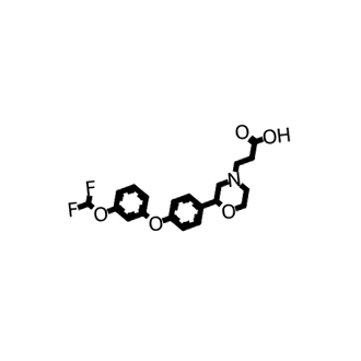 O=C(O)CCN1CCOC(c2ccc(Oc3cccc(OC(F)F)c3)cc2)C1